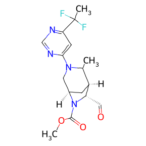 COC(=O)N1[C@@H]2C[C@@H](C(C)N(c3cc(C(C)(F)F)ncn3)C2)[C@@H]1C=O